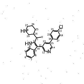 CC(c1[nH]c2ccccc2c1-c1cncc(-c2ccc(Cl)cc2)c1)C1CCCNC1